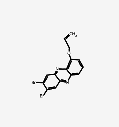 C=CCOc1cccc2nc3cc(Br)c(Br)cc3nc12